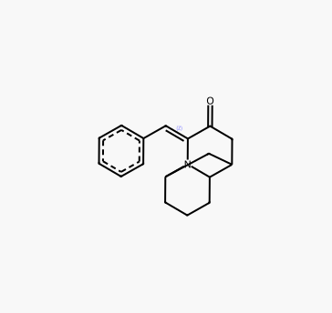 O=C1CC2CC3CCCC2N3/C1=C\c1ccccc1